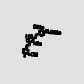 CCCC/C(C(=O)/C=C/c1ccc(C)c(CO)c1)=C(O)\C=C\c1ccc(OCOC)c(OC)c1